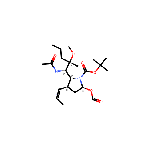 C/C=C\[C@@H]1C[C@H](OC=O)N(C(=O)OC(C)(C)C)[C@H]1[C@@H](NC(C)=O)[C@](C)(CCC)OC